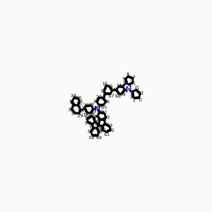 c1ccc(-n2c3ccccc3c3cc(-c4cccc(-c5ccc(N(c6ccc(-c7cccc8ccccc78)cc6)c6ccc7c(c6)C6(c8ccccc8-c8ccccc86)c6ccccc6-7)cc5)c4)ccc32)cc1